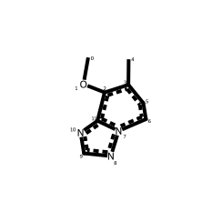 COc1c(C)ccn2ncnc12